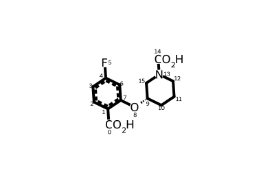 O=C(O)c1ccc(F)cc1O[C@H]1CCCN(C(=O)O)C1